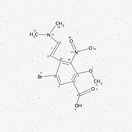 COc1c(C(=O)O)cc(Br)c(/C=C/N(C)C)c1[N+](=O)[O-]